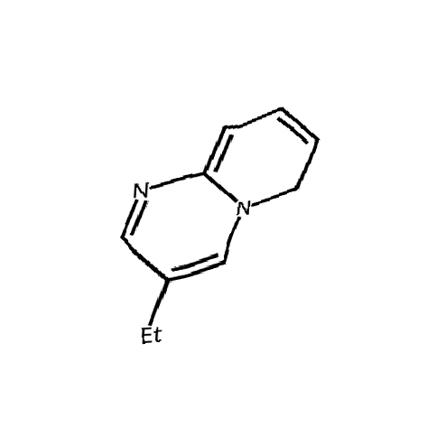 CCC1=CN2CC=CC=C2N=C1